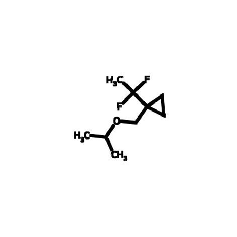 CC(C)OCC1(C(C)(F)F)CC1